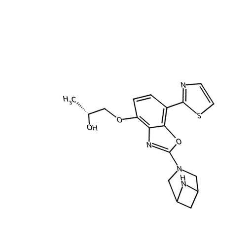 C[C@@H](O)COc1ccc(-c2nccs2)c2oc(N3CC4CC(C3)N4)nc12